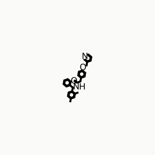 Cc1ccc(C(NC(=O)Cc2ccc(OCc3cccnc3)cc2)c2ccccc2)c(C)c1